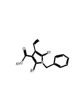 C=Cc1c(C(=O)OC)c(C(C)C)n(Cc2ccccc2)c1CC